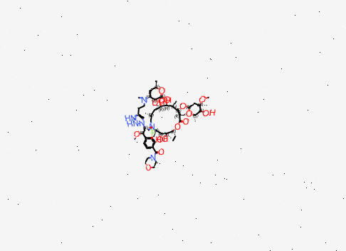 CC[C@H]1OC(=O)[C@H](C)[C@@H](O[C@H]2C[C@@](C)(OC)[C@@H](O)[C@H](C)O2)[C@H](C)[C@@H](O[C@@H]2O[C@H](C)C[C@H](N(C)CCC3=CN([C@H](CF)[C@H](OC)c4ccc(C(=O)N5CCOCC5)cc4)NN3)[C@H]2O)[C@](C)(O)C[C@@H](C)CN(C)[C@H](C)[C@@H](O)[C@]1(C)O